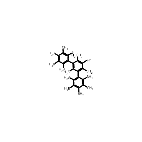 Bc1c(B)c(C)c(B)c(-c2c(B)c(-c3c(B)c(B)c(B)c(C)c3B)c(B)c(C(C)C)c2B)c1B